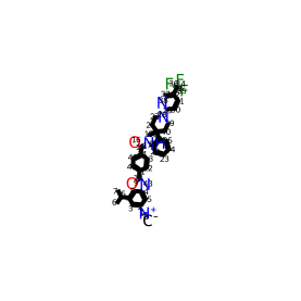 [C-]#[N+]c1cc(C(C)C)c2oc(-c3ccc(C(=O)NCC4(c5ccccc5)CCN(c5ccc(C(F)(F)F)cn5)CC4)cc3)nc2c1